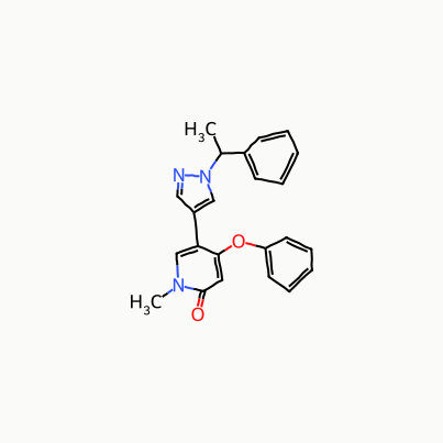 CC(c1ccccc1)n1cc(-c2cn(C)c(=O)cc2Oc2ccccc2)cn1